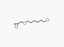 [O]CCCCCCOCC1CO1